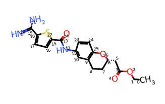 CCOC(=O)C[C@@H]1CCc2cc(NC(=O)c3ccc(C(=N)N)s3)ccc2O1